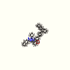 c1ccc(-c2nc(-c3ccc4ccccc4c3)cc(-c3cccc4oc5cc(-c6ccc(C7c8ccccc8-c8cc9ccccc9cc87)cc6)ccc5c34)n2)cc1